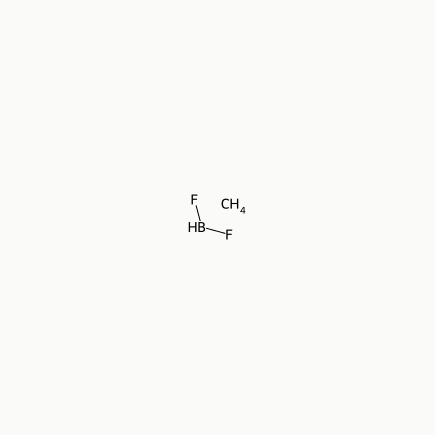 C.FBF